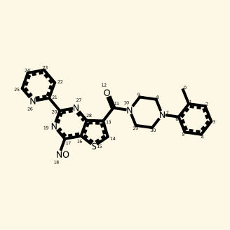 Cc1ccccc1N1CCN(C(=O)c2csc3c(N=O)nc(-c4ccccn4)nc23)CC1